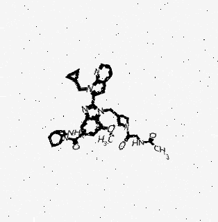 COc1cc(C(=O)N2CC3CCC2C3N)cc2nc(-c3cc4cccnc4n3CC3CC3)n(CC3CN(C(=O)CNC(C)=O)C3)c12